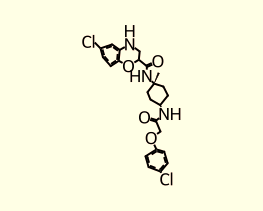 C[C@]1(NC(=O)C2CNc3cc(Cl)ccc3O2)CC[C@@H](NC(=O)COc2ccc(Cl)cc2)CC1